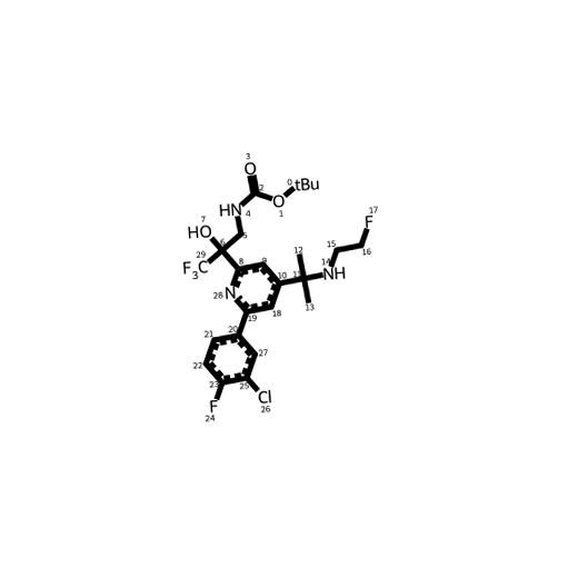 CC(C)(C)OC(=O)NCC(O)(c1cc(C(C)(C)NCCF)cc(-c2ccc(F)c(Cl)c2)n1)C(F)(F)F